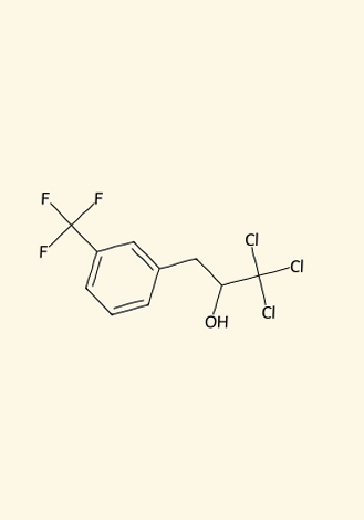 OC(Cc1cccc(C(F)(F)F)c1)C(Cl)(Cl)Cl